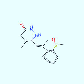 C/C(=C\C1NNC(=O)CC1C)c1ccccc1[S+](C)[O-]